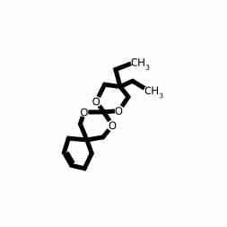 CCC1(CC)COC2(OC1)OCC1(CC=CCC1)CO2